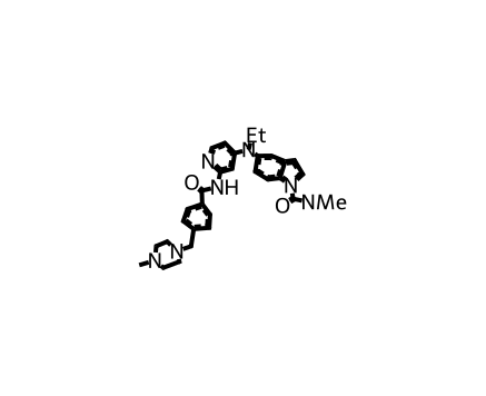 CCN(c1ccnc(NC(=O)c2ccc(CN3CCN(C)CC3)cc2)c1)c1ccc2c(ccn2C(=O)NC)c1